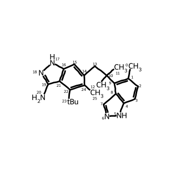 Cc1ccc2[nH]ncc2c1C(C)(C)Cc1cc2[nH]nc(N)c2c(C(C)(C)C)c1C